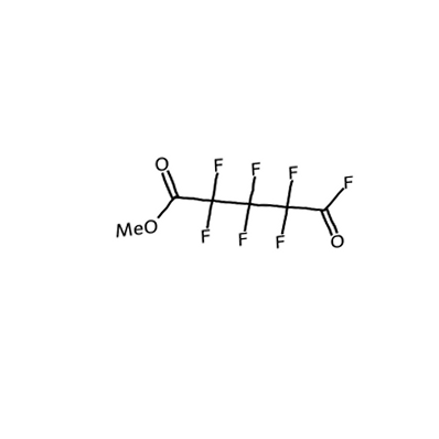 COC(=O)C(F)(F)C(F)(F)C(F)(F)C(=O)F